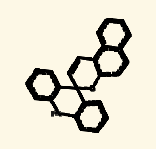 C1=CC2(Oc3ccc4ccccc4c31)c1ccccc1Nc1ccccc12